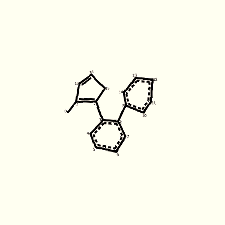 CC1=C(c2ccccc2-c2ccccc2)CC=C1